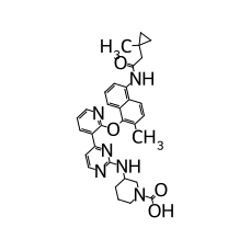 Cc1ccc2c(NC(=O)CC3(C)CC3)cccc2c1Oc1ncccc1-c1ccnc(NC2CCCN(C(=O)O)C2)n1